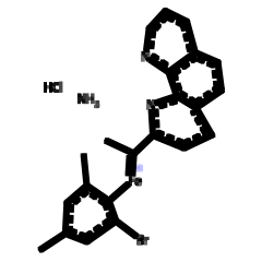 C/[C](=[Fe]\[c]1c(C)cc(C)cc1Br)c1ccc2ccc3cccnc3c2n1.Cl.N